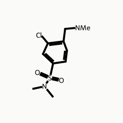 CNCc1ccc(S(=O)(=O)N(C)C)cc1Cl